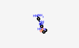 Cn1c(NCc2ccc(C(=N)N)cc2)nc2cc(NS(=O)(=O)c3cccc4cccnc34)ccc21